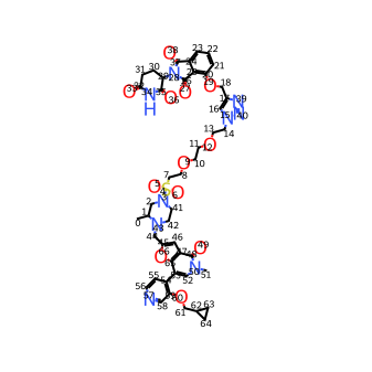 CC1CN(S(=O)(=O)CCOCCOCCn2cc(COc3cccc4c3C(=O)N(C3CCC(=O)NC3=O)C4=O)nn2)CCN1Cc1cc2c(=O)n(C)cc(-c3ccncc3OCC3CC3)c2o1